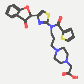 O=C(O)CN1CCN(CCCN(C(=O)c2cccs2)c2nc(C3Oc4ccccc4C3=O)cs2)CC1